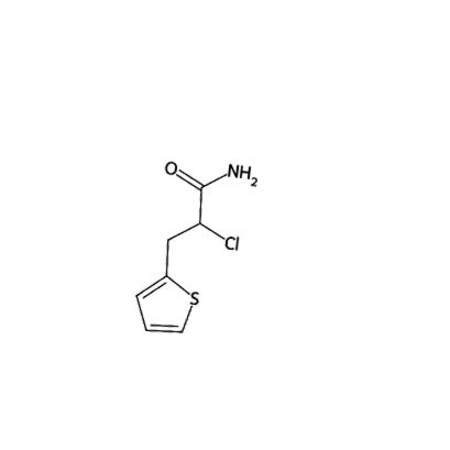 NC(=O)C(Cl)Cc1cccs1